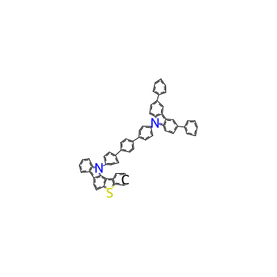 c1ccc(-c2ccc3c(c2)c2cc(-c4ccccc4)ccc2n3-c2ccc(-c3ccc(-c4ccc(-n5c6ccccc6c6ccc7sc8ccccc8c7c65)cc4)cc3)cc2)cc1